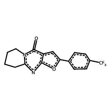 O=c1c2cc(-c3ccc(C(F)(F)F)cc3)oc2nc2n1CCCC2